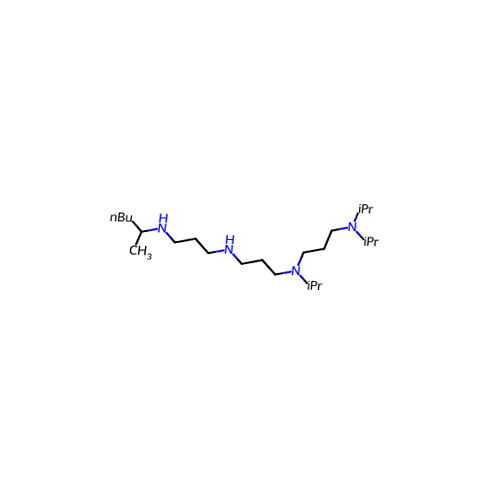 CCCCC(C)NCCCNCCCN(CCCN(C(C)C)C(C)C)C(C)C